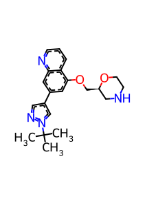 CC(C)(C)n1cc(-c2cc(OC[C@@H]3CNCCO3)c3cccnc3c2)cn1